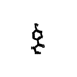 CCCCNC(=O)c1ccc(C(C)C)nn1